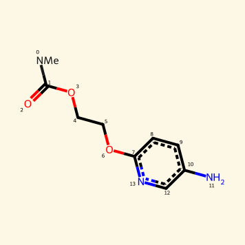 CNC(=O)OCCOc1ccc(N)cn1